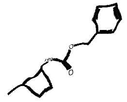 CC1CCC(NC(=O)OCc2ccccc2)C1